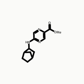 COC(=O)c1cnc(NC2CC3CCC2C3)cn1